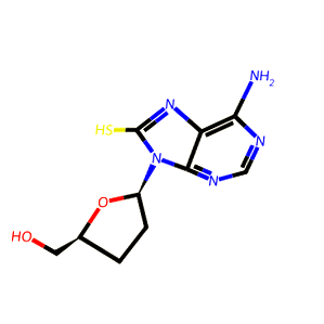 Nc1ncnc2c1nc(S)n2[C@H]1CC[C@@H](CO)O1